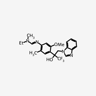 CCN(C)/C=N/c1cc(OC)c(C(O)(Cn2cnc3ccccc32)C(F)(F)F)cc1C